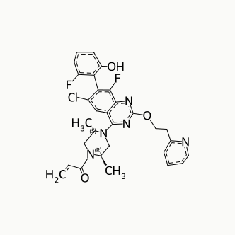 C=CC(=O)N1C[C@H](C)N(c2nc(OCCc3ccccn3)nc3c(F)c(-c4c(O)cccc4F)c(Cl)cc23)C[C@H]1C